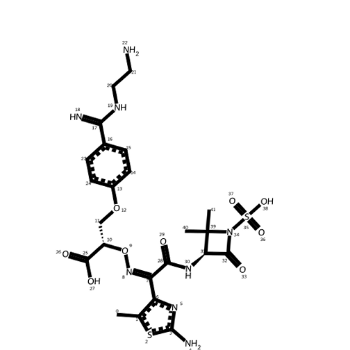 Cc1sc(N)nc1/C(=N/O[C@@H](COc1ccc(C(=N)NCCN)cc1)C(=O)O)C(=O)N[C@@H]1C(=O)N(S(=O)(=O)O)C1(C)C